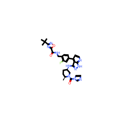 C[C@H]1CC[C@@H](Nc2n[nH]c3nccc(-c4ccc(CNC(=O)c5nc(C(C)(C)C)no5)c(F)c4)c23)CN1C(=O)n1ccnc1